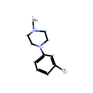 CC(C)(C)N1CCN(c2cc[c]c(C(F)(F)F)c2)CC1